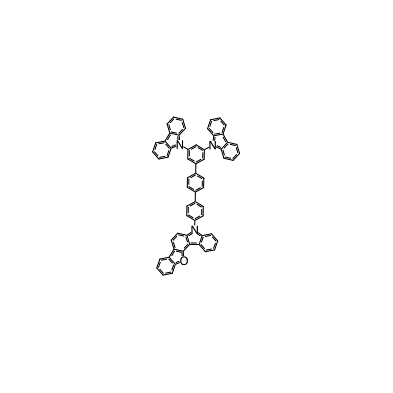 c1ccc2c(c1)oc1c2ccc2c1c1ccccc1n2-c1ccc(-c2ccc(-c3cc(-n4c5ccccc5c5ccccc54)cc(-n4c5ccccc5c5ccccc54)c3)cc2)cc1